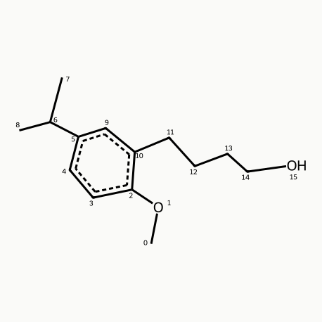 COc1ccc(C(C)C)cc1CCCCO